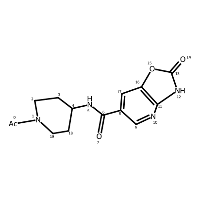 CC(=O)N1CCC(NC(=O)c2cnc3[nH]c(=O)oc3c2)CC1